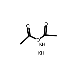 CC(=O)OC(C)=O.[KH].[KH]